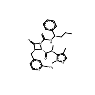 CCC[C@@H](NC(=O)N1C(=O)[C@H](Cc2ccnc(N)c2)[C@H]1C(=O)N(C)c1c(C)cnn1C)c1ccccc1